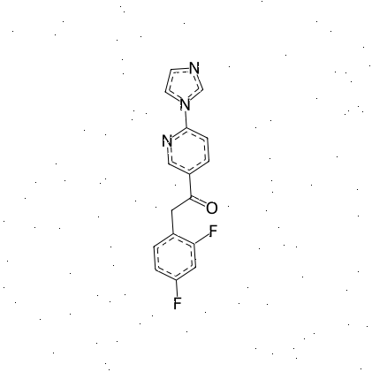 O=C(Cc1ccc(F)cc1F)c1ccc(-n2ccnc2)nc1